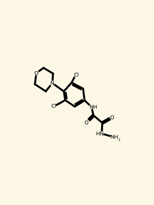 NNC(=O)C(=O)Nc1cc(Cl)c(N2CCOCC2)c(Cl)c1